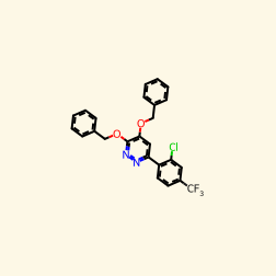 FC(F)(F)c1ccc(-c2cc(OCc3ccccc3)c(OCc3ccccc3)nn2)c(Cl)c1